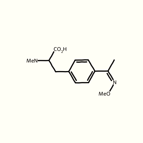 CNC(Cc1ccc(/C(C)=N\OC)cc1)C(=O)O